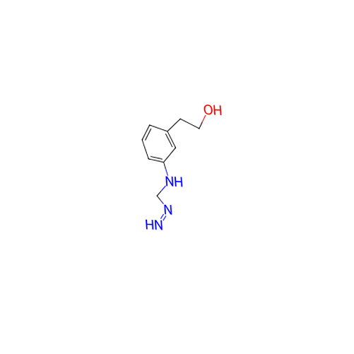 N=NCNc1cccc(CCO)c1